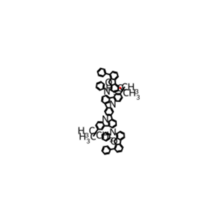 CC(C)(C)c1ccc2c(c1)c1c(N(c3ccccc3)c3cccc4c3oc3c(-c5ccccc5)cccc34)ccc3c4cc5c(cc4n2c31)c1ccc(N(c2ccccc2)c2cccc3c2oc2c(-c4ccccc4)cccc23)c2c3cc(C(C)(C)C)ccc3n5c12